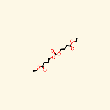 C=COC(=O)CC=COC(=O)OC=CCC(=O)OC=C